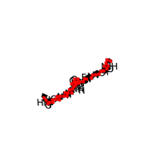 O=C1CCC(Nc2ccc(N3CCN(CCN4CCC(COc5cc(F)c6c(=O)[nH]c(CC7CCCC7)nc6c5)CC4)CC3)c(F)c2)C(=O)N1N1C(=O)CCC(Nc2ccc(N3CCN(CCN4CCC(COc5cc(F)c6c(=O)[nH]c(CC7CCC7)nc6c5)CC4)CC3)c(F)c2)C1=O